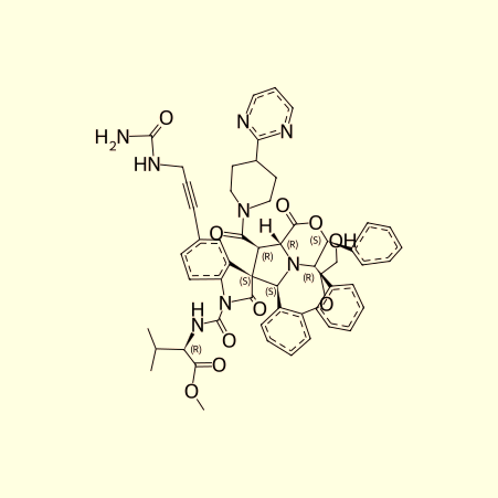 COC(=O)[C@H](NC(=O)N1C(=O)[C@@]2(c3cc(C#CCNC(N)=O)ccc31)[C@H](c1ccccc1OCCO)N1[C@H](c3ccccc3)[C@H](c3ccccc3)OC(=O)[C@H]1[C@@H]2C(=O)N1CCC(c2ncccn2)CC1)C(C)C